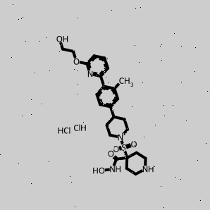 Cc1cc(C2CCN(S(=O)(=O)C3(C(=O)NO)CCNCC3)CC2)ccc1-c1cccc(OCCO)n1.Cl.Cl